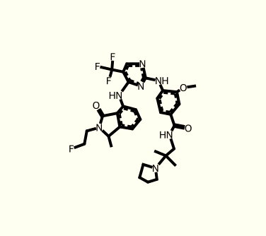 COc1cc(C(=O)NCC(C)(C)N2CCCC2)ccc1Nc1ncc(C(F)(F)F)c(Nc2cccc3c2C(=O)N(CCF)C3C)n1